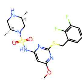 COc1cc(NS(=O)(=O)N2C[C@@H](C)NC[C@H]2C)nc(SCc2cccc(F)c2F)n1